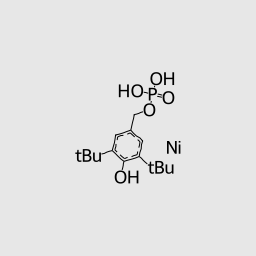 CC(C)(C)c1cc(COP(=O)(O)O)cc(C(C)(C)C)c1O.[Ni]